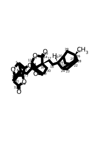 Cc1c2c3oc1c(Cc1c4oc5c1OC(=O)[C@]5(CC[C@H]1C5CC6CC1C[C@@](C)(C6)C5)C4)c3C(=O)O2